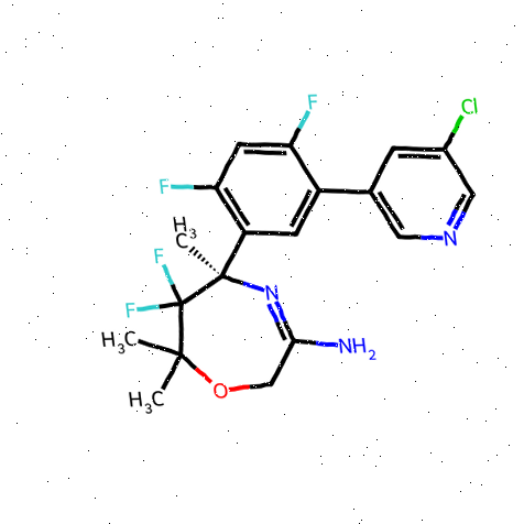 CC1(C)OCC(N)=N[C@](C)(c2cc(-c3cncc(Cl)c3)c(F)cc2F)C1(F)F